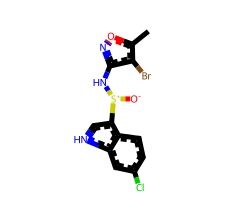 Cc1onc(N[S+]([O-])c2c[nH]c3cc(Cl)ccc23)c1Br